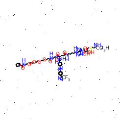 NC(CCSCC1OC(n2cnc3c(NCCCCNC(=O)CC[C@@H](NC(=O)c4ccc(/N=N/c5ccc(C6(C(F)(F)F)N=N6)cc5)cc4)C(=O)NCCNC(=O)CCOCCOCCOCCOCCNC(=O)C4CC5C=CC4C5)ncnc32)C(O)C1O)C(=O)O